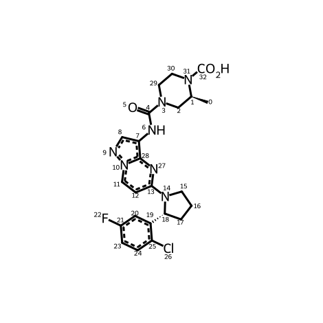 C[C@H]1CN(C(=O)Nc2cnn3ccc(N4CCC[C@@H]4c4cc(F)ccc4Cl)nc23)CCN1C(=O)O